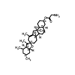 CC1=C2C[C@H]3[C@@H](CC[C@@H]4C[C@H](OC(=O)CN)CC[C@@]43C)[C@@H]2CC[C@@]2(C1)O[C@@H]1C[C@H](C)CN(C)[C@H]1[C@H]2C